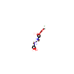 Oc1ccc(-c2csc(-c3nc(-c4ccc(OCCOCCF)c(O)c4)cs3)n2)cc1O